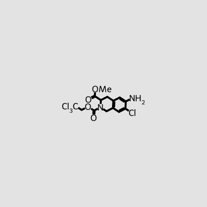 COC(=O)C1Cc2cc(N)c(Cl)cc2CN1C(=O)OCC(Cl)(Cl)Cl